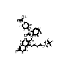 CC(C)(C)[Si](C)(C)OCCCCc1c(Cn2c(=O)n(C3CCN(C(=O)O)CC3)c3ccncc32)ncc2cc(F)ccc12